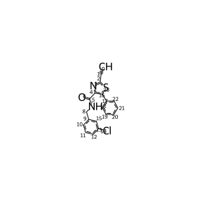 C#Cc1nc(C(=O)NCc2cccc(Cl)c2)c(-c2ccccc2)s1